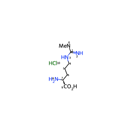 CNC(=N)NCCC[C@H](N)C(=O)O.Cl